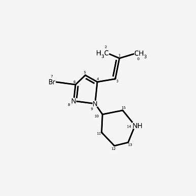 CC(C)=Cc1cc(Br)nn1C1CCCNC1